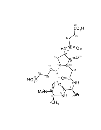 CNC(=O)[C@H](C)NC(=O)[C@@H](NC(=O)CN1C(=O)[C@@H](NC(=O)CCC(=O)O)C[C@H]1COCCS(=O)(=O)O)C(C)C